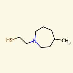 CC1CCCN(CCS)CC1